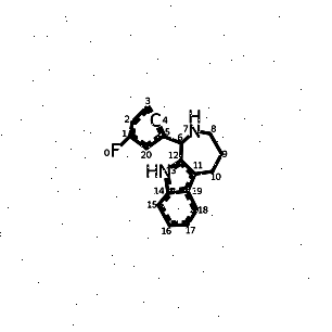 Fc1cccc(C2NCCCc3c2[nH]c2ccccc32)c1